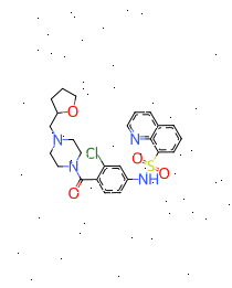 O=C(c1ccc(NS(=O)(=O)c2cccc3cccnc23)cc1Cl)N1CCN(CC2CCCO2)CC1